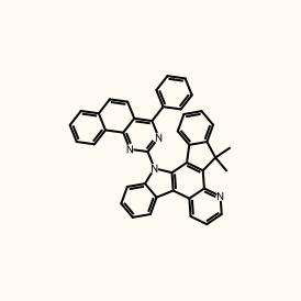 CC1(C)c2ccccc2-c2c1c1ncccc1c1c3ccccc3n(-c3nc(-c4ccccc4)c4ccc5ccccc5c4n3)c21